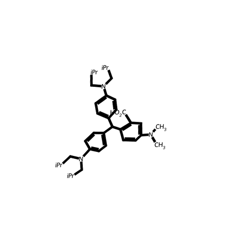 CC(C)CN(CC(C)C)c1ccc(C(c2ccc(N(CC(C)C)CC(C)C)cc2)c2ccc(N(C)C)cc2C(=O)O)cc1